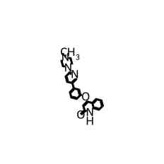 CN1CCN(c2ccc(-c3cccc(Oc4cc(=O)[nH]c5ccccc45)c3)cn2)CC1